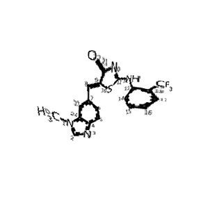 Cn1cnc2ccc(/C=C3\SC(Nc4ccccc4C(F)(F)F)=NC3=O)cc21